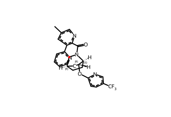 Cc1cnc(C(=O)N2C[C@@H]3CC[C@H]2[C@H](Oc2ccc(C(F)(F)F)cn2)C3)c(-c2ccccn2)c1